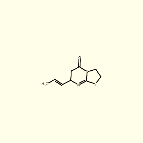 CC=CC1CC(=O)N2CCSC2=N1